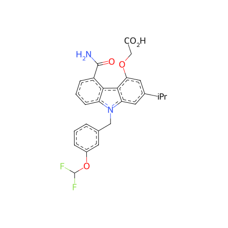 CC(C)c1cc(OCC(=O)O)c2c3c(C(N)=O)cccc3n(Cc3cccc(OC(F)F)c3)c2c1